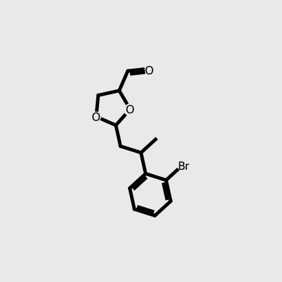 CC(CC1OCC(C=O)O1)c1ccccc1Br